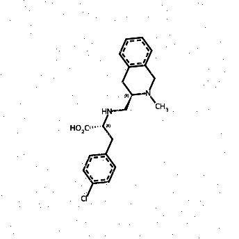 CN1Cc2ccccc2C[C@@H]1CN[C@H](Cc1ccc(Cl)cc1)C(=O)O